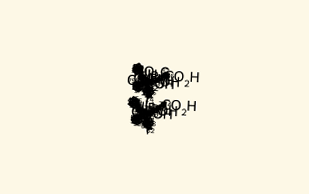 CC(C)c1c(C(=O)Nc2ccccc2)c(-c2ccccc2)c(-c2ccc(F)cc2)n1CC[C@@H](O)C[C@@H](O)C(C(=O)O)C(=O)O.CC(C)c1c(C(=O)Nc2ccccc2)c(-c2ccccc2)c(-c2ccc(F)cc2)n1CC[C@@H](O)C[C@@H](O)CC(=O)O.[CaH2]